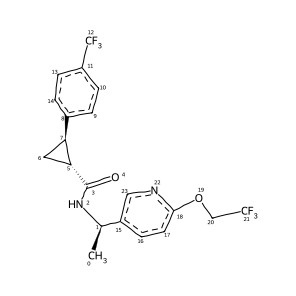 C[C@@H](NC(=O)[C@@H]1C[C@H]1c1ccc(C(F)(F)F)cc1)c1ccc(OCC(F)(F)F)nc1